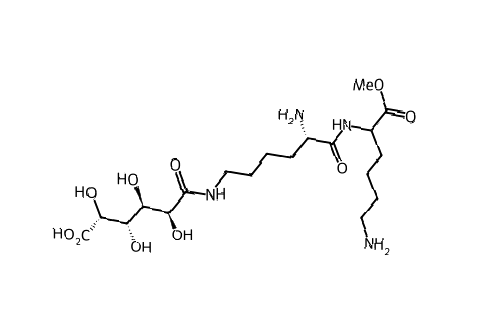 COC(=O)C(CCCCN)NC(=O)[C@@H](N)CCCCNC(=O)[C@@H](O)[C@H](O)[C@H](O)[C@@H](O)C(=O)O